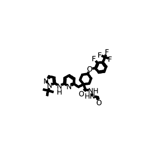 CC(C)(C)n1nccc1Nc1cccc(CC2(C(=O)NNC=O)CCC(Oc3cccc(C(F)(F)F)c3F)CC2)n1